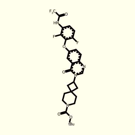 CC(C)(C)OC(=O)N1CCC2(CC1)CC(n1cnc3ccc(Oc4c(F)ccc(NC(=O)C(F)(F)F)c4F)cc3c1=O)C2